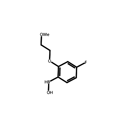 COCCOc1cc(F)ccc1BO